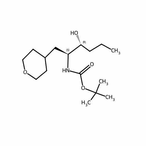 CCC[C@@H](O)[C@H](CC1CCOCC1)NC(=O)OC(C)(C)C